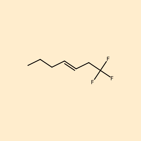 CCC/C=C/CC(F)(F)F